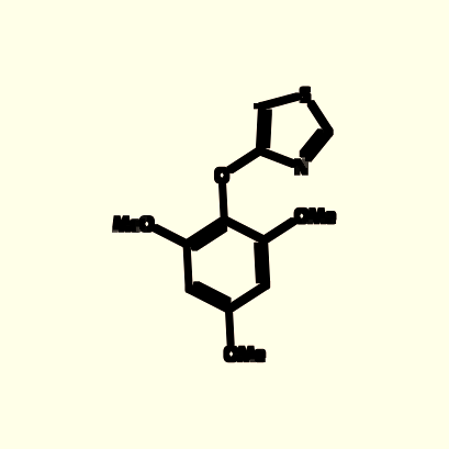 COc1cc(OC)c(Oc2[c]scn2)c(OC)c1